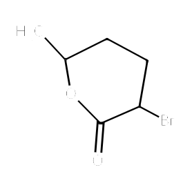 CC1CCC(Br)C(=O)O1